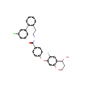 O=C(O)OC1CCOc2cc(Oc3ccc(C(=O)NCCc4ccccc4-c4cccc(Cl)c4)cc3)c(Cl)cc21